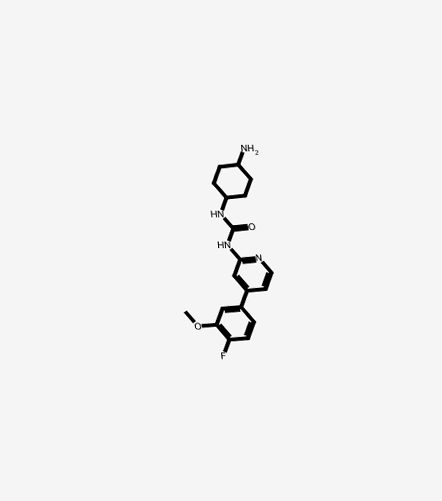 COc1cc(-c2ccnc(NC(=O)NC3CCC(N)CC3)c2)ccc1F